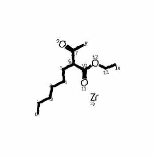 CCCCCCC(C(C)=O)C(=O)OCC.[Zr]